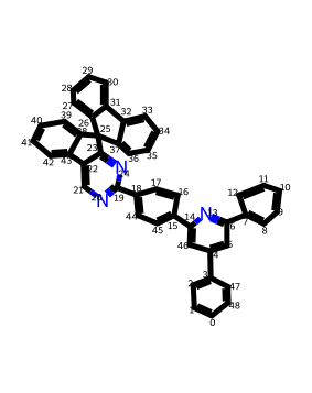 c1ccc(-c2cc(-c3ccccc3)nc(-c3ccc(-c4ncc5c(n4)C4(c6ccccc6-c6ccccc64)c4ccccc4-5)cc3)c2)cc1